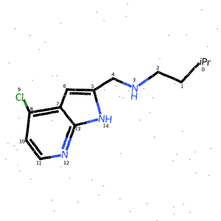 CC(C)CCNCc1cc2c(Cl)ccnc2[nH]1